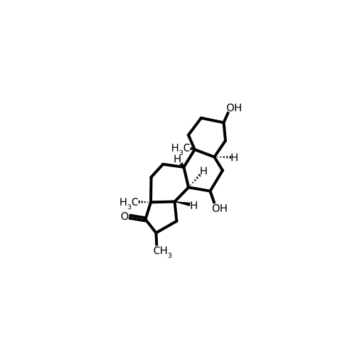 CC1C[C@H]2[C@@H]3C(O)C[C@@H]4CC(O)CC[C@]4(C)[C@H]3CC[C@]2(C)C1=O